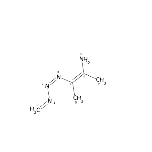 C=N/N=N\C(C)=C(\C)N